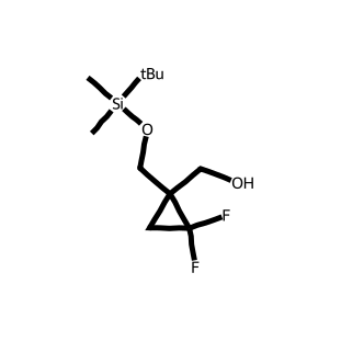 CC(C)(C)[Si](C)(C)OCC1(CO)CC1(F)F